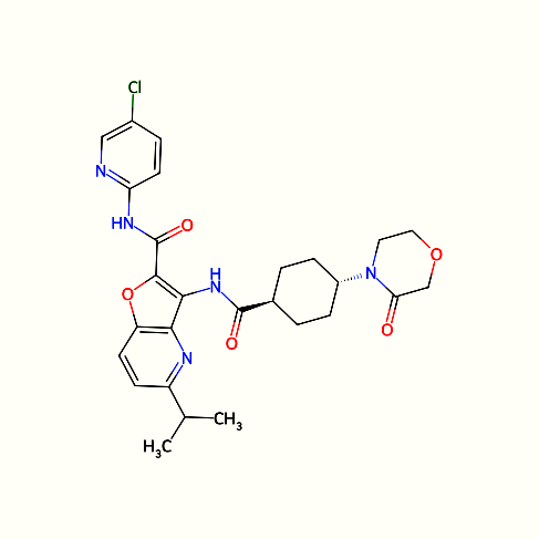 CC(C)c1ccc2oc(C(=O)Nc3ccc(Cl)cn3)c(NC(=O)[C@H]3CC[C@H](N4CCOCC4=O)CC3)c2n1